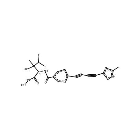 Cc1nc(C#CC#Cc2ccc(C(=O)N[C@H](C(=O)NO)C(C)(O)C(F)F)cc2)c[nH]1